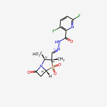 C[C@]1(/C=N/NC(=O)c2nc(F)ccc2F)[C@H](C(=O)O)N2C(=O)C[C@H]2S1(=O)=O